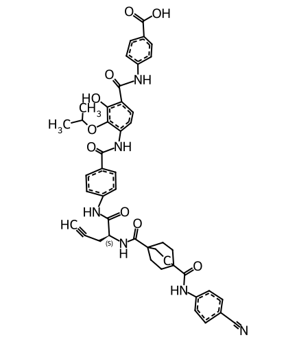 C#CC[C@H](NC(=O)C12CCC(C(=O)Nc3ccc(C#N)cc3)(CC1)CC2)C(=O)Nc1ccc(C(=O)Nc2ccc(C(=O)Nc3ccc(C(=O)O)cc3)c(O)c2OC(C)C)cc1